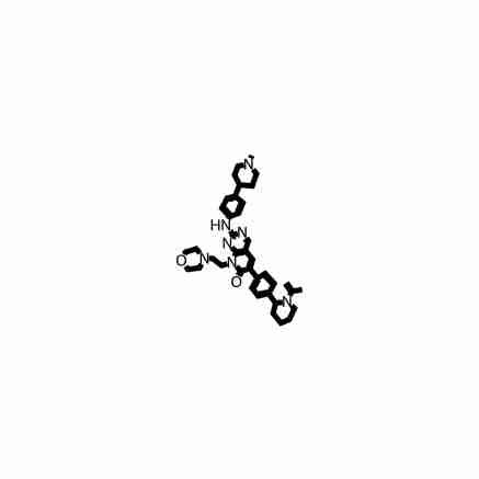 C=C(C)N1CCCCC1c1ccc(-c2cc3cnc(Nc4ccc(C5CCN(C)CC5)cc4)nc3n(CCN3CCOCC3)c2=O)cc1